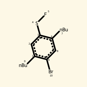 CCCCc1cc(SF)c(CCCC)cc1Br